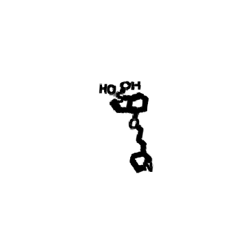 OS1(O)C=Cc2c(OCCCc3cccnc3)cccc21